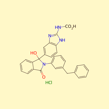 Cl.O=C(O)Nc1nc2cc(C3(O)c4ccccc4C(=O)N3c3cccc(Cc4ccccc4)c3)ccc2[nH]1